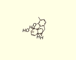 Cc1ccc2c3c1O[C@H]1[C@@H](O)C=C[C@H]4[C@H](CCC[C@@]341)C2